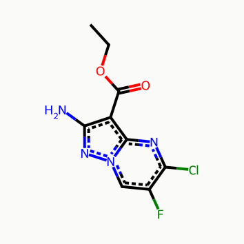 CCOC(=O)c1c(N)nn2cc(F)c(Cl)nc12